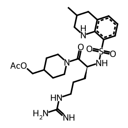 CC(=O)OCC1CCN(C(=O)[C@H](CCCNC(=N)N)NS(=O)(=O)c2cccc3c2NCC(C)C3)CC1